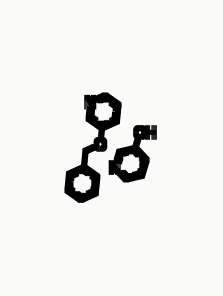 Oc1cccnc1.c1ccc(COc2cccnc2)cc1